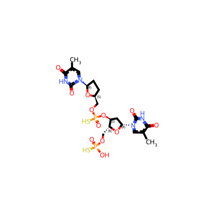 Cc1cn([C@H]2CC[C@@H](COP(=O)(S)O[C@H]3C[C@H](n4cc(C)c(=O)[nH]c4=O)O[C@@H]3COP(=O)(O)S)O2)c(=O)[nH]c1=O